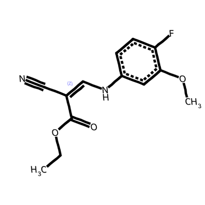 CCOC(=O)/C(C#N)=C\Nc1ccc(F)c(OC)c1